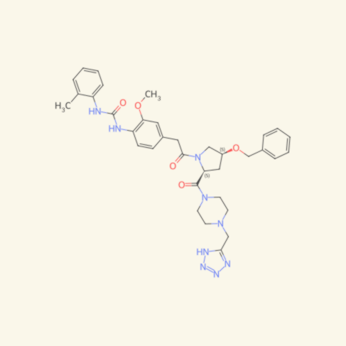 COc1cc(CC(=O)N2C[C@@H](OCc3ccccc3)C[C@H]2C(=O)N2CCN(Cc3nnn[nH]3)CC2)ccc1NC(=O)Nc1ccccc1C